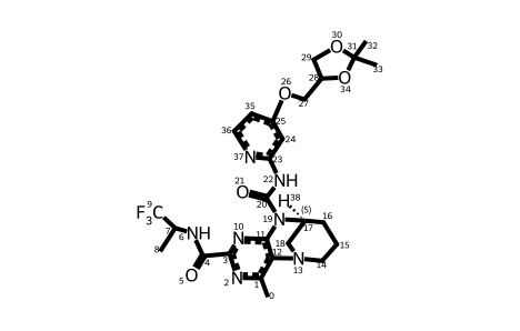 Cc1nc(C(=O)NC(C)C(F)(F)F)nc2c1N1CCC[C@@H](C1)N2C(=O)Nc1cc(OCC2COC(C)(C)O2)ccn1